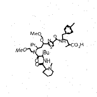 CCC(C)C(NC(=O)C1CCCCN1C)C(=O)N(CCOC)C(CC(OCOC)c1nc(C(=O)NC(Cc2ccc(C)cc2)CC(C)C(=O)O)cs1)C(C)C